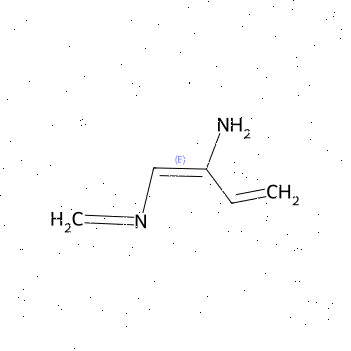 C=C/C(N)=C\N=C